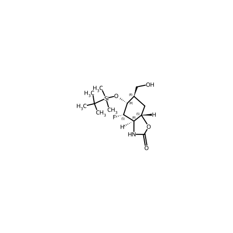 CC(C)(C)[Si](C)(C)O[C@@H]1[C@@H](CO)C[C@@H]2OC(=O)N[C@H]2[C@@H]1F